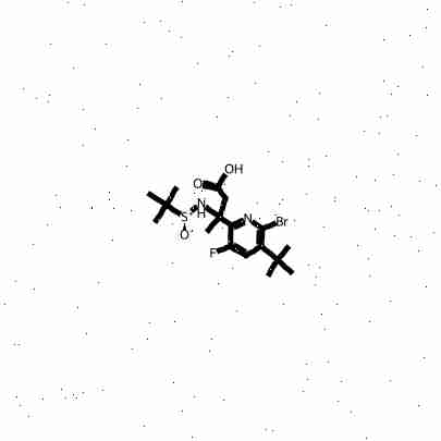 CC(C)(C)c1cc(F)c(C(C)(CC(=O)O)N[S@+]([O-])C(C)(C)C)nc1Br